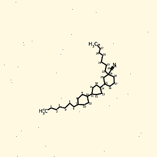 CCCCCCCC1CCC(C2CCC(C3CCCC(C#N)(CCCCCCC)C3)CC2)CC1